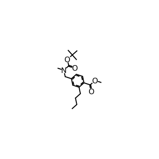 CCCCc1cc(CN(C)C(=O)OC(C)(C)C)ccc1C(=O)OC